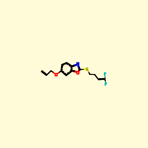 C=CCOc1ccc2nc(SCCC=C(F)F)oc2c1